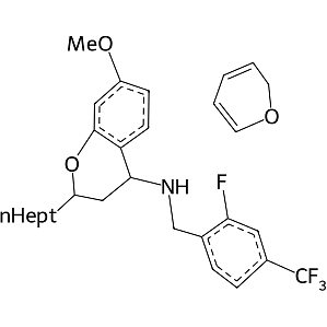 C1=CCOC=C1.CCCCCCCC1CC(NCc2ccc(C(F)(F)F)cc2F)c2ccc(OC)cc2O1